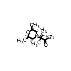 CC1CN(C(C)(C)C(=O)C(C)C)CC(C)O1